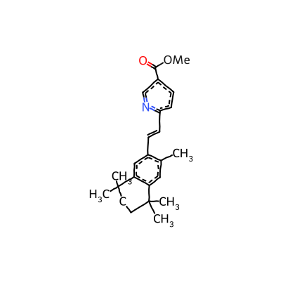 COC(=O)c1ccc(C=Cc2cc3c(cc2C)C(C)(C)CCC3(C)C)nc1